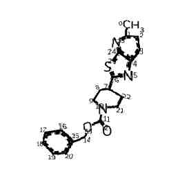 Cc1ccc2nc(C3CCN(C(=O)OCc4ccccc4)CC3)sc2n1